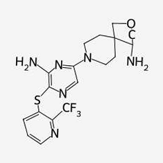 Nc1nc(N2CCC3(CC2)COCC3N)cnc1Sc1cccnc1C(F)(F)F